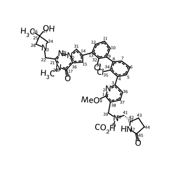 COc1nc(-c2cccc(-c3cccc(-c4cc5c(=O)n(C)c(CN6CC(C)(O)C6)nn5c4)c3Cl)c2Cl)ccc1CN(C[C@@H]1CCC(=O)N1)C(=O)O